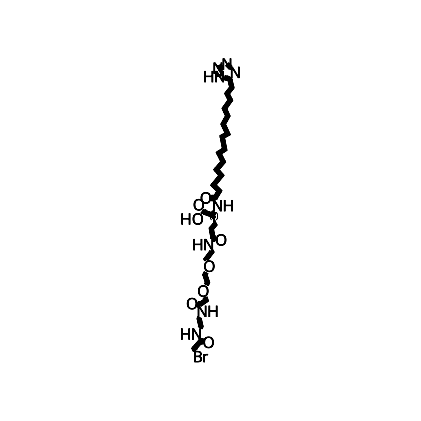 O=C(CBr)NCCNC(=O)COCCOCCNC(=O)CC[C@H](NC(=O)CCCCCCCCCCCCCCCc1nnn[nH]1)C(=O)O